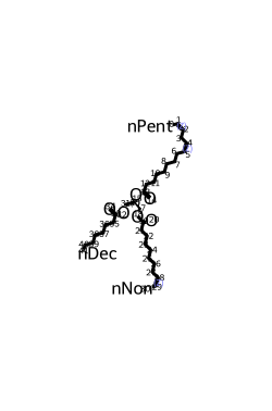 CCCCC/C=C\C/C=C\CCCCCCCC(=O)O[C@@H](COC(=O)CCCCCCC/C=C\CCCCCCCCC)COC(=O)CCCCCCCCCCCCCCCC